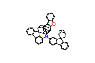 c1ccc2c(c1)-c1ccc(N(c3ccc4c(c3)oc3ccccc34)c3cccc4c3C3(c5ccccc5-4)C4CC5CC(C4)CC3C5)cc1C21CC2CCC1C2